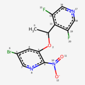 CC(Oc1cc(Br)cnc1[N+](=O)[O-])c1c(F)cncc1F